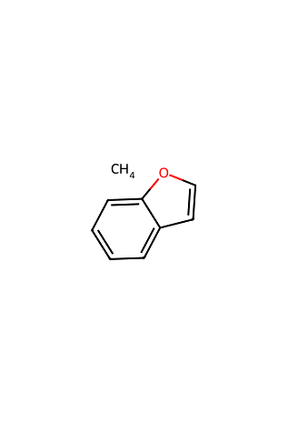 C.c1ccc2occc2c1